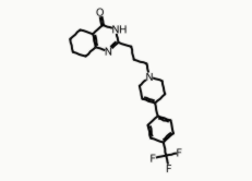 O=c1[nH]c(CCCN2CC=C(c3ccc(C(F)(F)F)cc3)CC2)nc2c1CCCC2